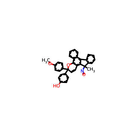 COc1ccc(C2(c3ccc(O)cc3)C=Cc3c4c(c5ccccc5c3O2)-c2ccccc2C4(C)N=O)cc1